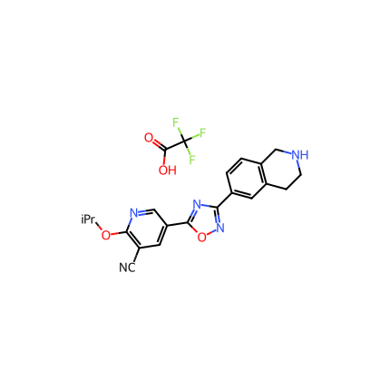 CC(C)Oc1ncc(-c2nc(-c3ccc4c(c3)CCNC4)no2)cc1C#N.O=C(O)C(F)(F)F